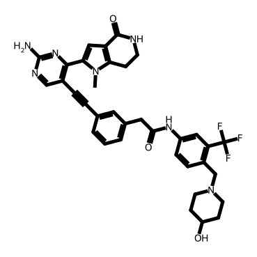 Cn1c(-c2nc(N)ncc2C#Cc2cccc(CC(=O)Nc3ccc(CN4CCC(O)CC4)c(C(F)(F)F)c3)c2)cc2c1CCNC2=O